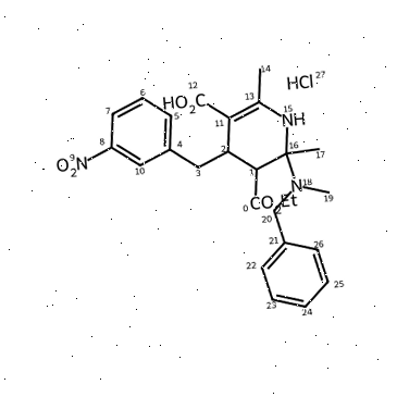 CCOC(=O)C1C(Cc2cccc([N+](=O)[O-])c2)C(C(=O)O)=C(C)NC1(C)N(C)Cc1ccccc1.Cl